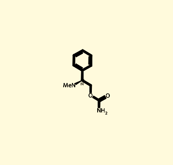 CN[C@H](COC(N)=O)c1ccccc1